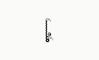 CCCCCCCCCCCCCCC(Cc1ccccc1)C(C)n1ccnc1